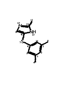 Cc1cc(C)cc(Sc2cnc(C)[nH]2)c1